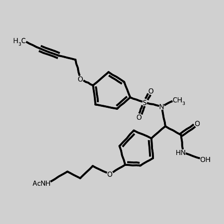 CC#CCOc1ccc(S(=O)(=O)N(C)C(C(=O)NO)c2ccc(OCCCNC(C)=O)cc2)cc1